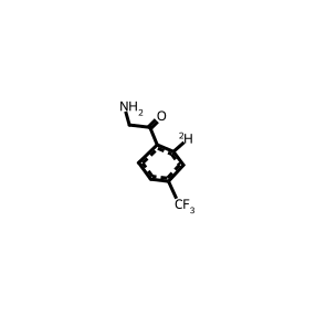 [2H]c1cc(C(F)(F)F)ccc1C(=O)CN